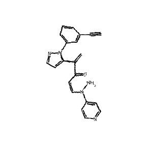 C#Cc1cccc(-n2nccc2C(=C)C(=O)/C=C\N(N)c2ccncc2)c1